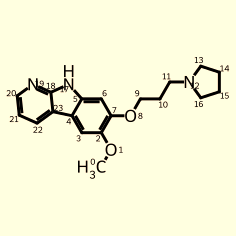 COc1cc2c(cc1OCCCN1CCCC1)[nH]c1ncccc12